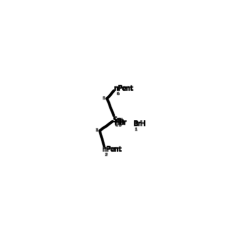 Br.Br.CCCCC[CH2][Sn][CH2]CCCCC